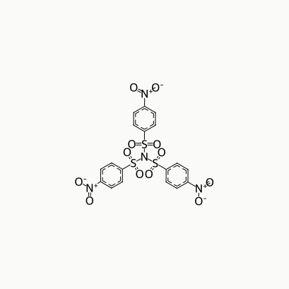 O=[N+]([O-])c1ccc(S(=O)(=O)N(S(=O)(=O)c2ccc([N+](=O)[O-])cc2)S(=O)(=O)c2ccc([N+](=O)[O-])cc2)cc1